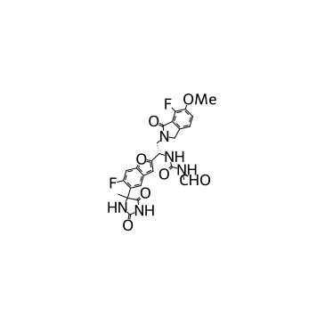 COc1ccc2c(c1F)C(=O)N(C[C@H](NC(=O)NC=O)c1cc3cc(C4(C)NC(=O)NC4=O)c(F)cc3o1)C2